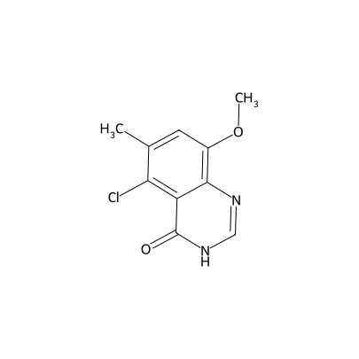 COc1cc(C)c(Cl)c2c(=O)[nH]cnc12